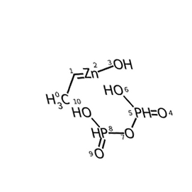 C[CH]=[Zn][OH].O=[PH](O)O[PH](=O)O